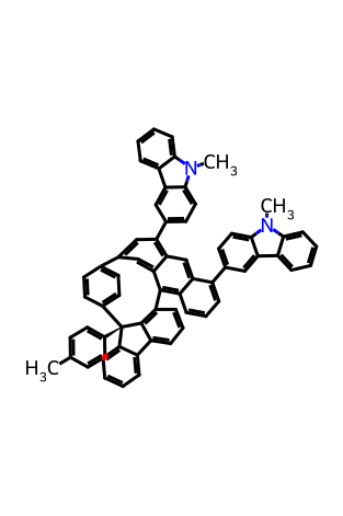 Cc1ccc([C@@]23c4ccc(cc4)-c4cc(-c5ccc6c(c5)c5ccccc5n6C)c5cc6c(-c7ccc8c(c7)c7ccccc7n8C)cccc6c(c5c4)-c4cccc(c42)-c2ccccc23)cc1